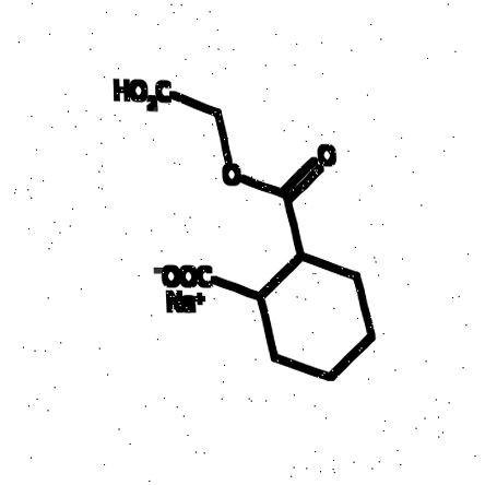 O=C(O)COC(=O)C1CCCCC1C(=O)[O-].[Na+]